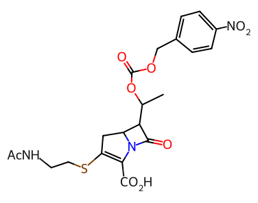 CC(=O)NCCSC1=C(C(=O)O)N2C(=O)C(C(C)OC(=O)OCc3ccc([N+](=O)[O-])cc3)C2C1